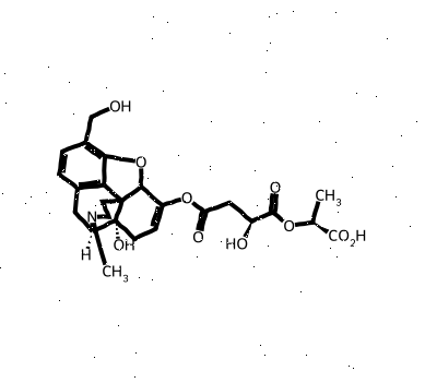 C[C@H](OC(=O)[C@@H](O)CC(=O)OC1=CC[C@@]2(O)[C@H]3Cc4ccc(CO)c5c4C2(CCN3C)C1O5)C(=O)O